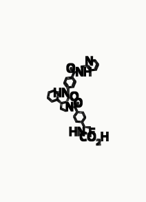 O=C(O)N[C@H](CF)C1CCC(C(=O)N2CC[C@@H](C3CCCCC3)[C@H]2C(=O)Nc2ccc(C(=O)NCc3ccccn3)cc2)CC1